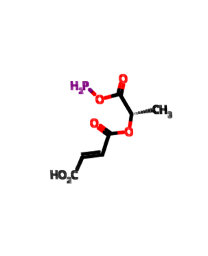 C[C@H](OC(=O)/C=C/C(=O)O)C(=O)OP